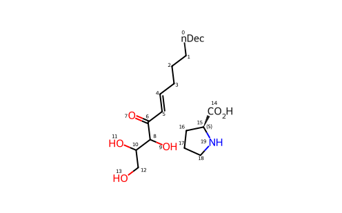 CCCCCCCCCCCCCC=CC(=O)C(O)C(O)CO.O=C(O)[C@@H]1CCCN1